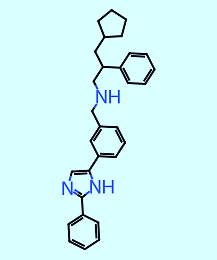 c1ccc(-c2ncc(-c3cccc(CNCC(CC4CCCC4)c4ccccc4)c3)[nH]2)cc1